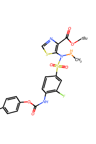 CPN(c1scnc1C(=O)OC(C)(C)C)S(=O)(=O)c1ccc(NC(=O)Oc2ccc([N+](=O)[O-])cc2)c(F)c1